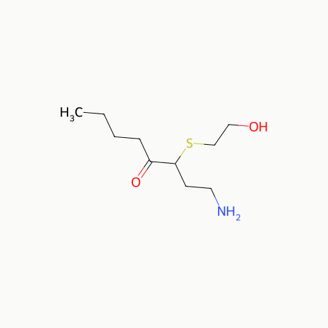 CCCCC(=O)C(CCN)SCCO